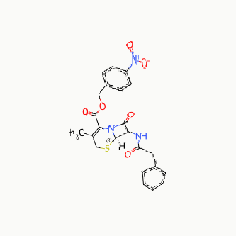 CC1=C(C(=O)OCc2ccc([N+](=O)[O-])cc2)N2C(=O)C(NC(=O)Cc3ccccc3)[C@H]2SC1